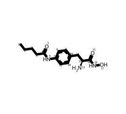 CCCCC(=O)Nc1ccc(C[C@H](N)C(=O)NO)cc1